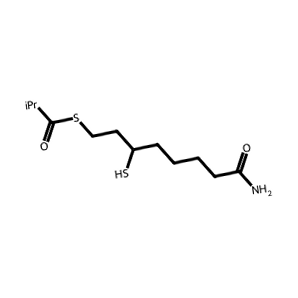 CC(C)C(=O)SCCC(S)CCCCC(N)=O